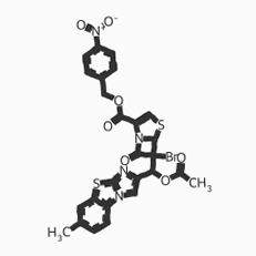 CC(=O)OC(c1cn2c(n1)sc1cc(C)ccc12)C1(Br)C(=O)N2C(C(=O)OCc3ccc([N+](=O)[O-])cc3)=CSC21